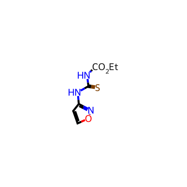 CCOC(=O)NC(=S)Nc1ccon1